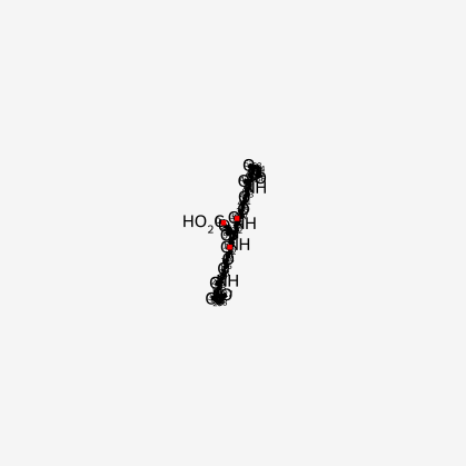 O=C(O)COCC(=O)N(CCNC(=O)CCOCCOCCNC(=O)CCN1C(=O)C=CC1=O)CCNC(=O)CCOCCOCCNC(=O)CCN1C(=O)C=CC1=O